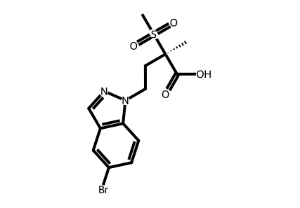 C[C@@](CCn1ncc2cc(Br)ccc21)(C(=O)O)S(C)(=O)=O